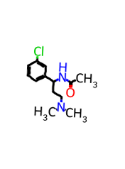 CC(=O)NC(CCN(C)C)c1cccc(Cl)c1